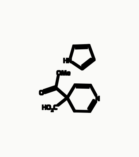 COC(=O)C1(C(=O)O)C=CN=CC1.c1cc[nH]c1